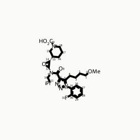 COCCCCc1c(C(=O)N(CC(C)C)[C@@H]2O[C@@H]2C2CCCN(C(=O)O)C2)nnn1-c1ccccc1F